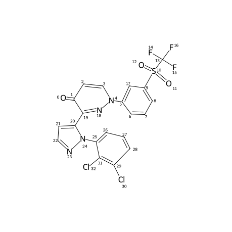 O=c1ccn(-c2cccc(S(=O)(=O)C(F)(F)F)c2)nc1-c1ccnn1-c1cccc(Cl)c1Cl